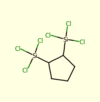 Cl[Si](Cl)(Cl)C1CCCC1[Si](Cl)(Cl)Cl